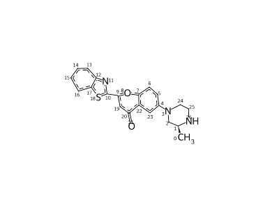 C[C@H]1CN(c2ccc3oc(-c4nc5ccccc5s4)cc(=O)c3c2)CCN1